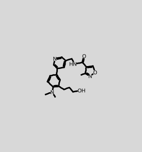 Cc1nocc1C(=O)NCc1cncc(-c2ccc(N(C)C)c(CCCO)c2)c1